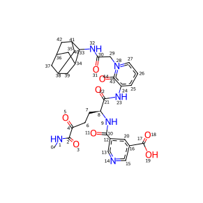 CNC(=O)C(=O)CC[C@H](NC(=O)c1cncc(C(=O)O)c1)C(=O)Nc1cccn(CC(=O)NC2C3CC4CC(C3)CC2C4)c1=O